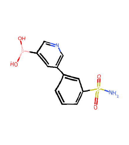 NS(=O)(=O)c1cccc(-c2cncc(B(O)O)c2)c1